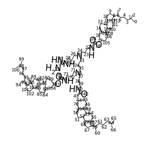 CC(C)CCCC(C)C1CCC2C3CC=C4CC(OC(=O)NCCCN(CCCNC(=N)N)CCCN(CCCNC(=O)C[C@@H]5CCC6(C)C(=CCC7C6CCC6(C)C(C(C)CCCC(C)C)CCC76)C5)CCCNC(=O)OC5CCC6(C)C(=CCC7C6CCC6(C)C(C(C)CCCC(C)C)CCC76)C5)CCC4(C)C3CCC12C